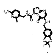 Cc1nc(N)ccc1CNC(=O)[C@@H]1CCc2ncc(NCc3ccc4c(c3)OC(F)(F)O4)c(=O)n21